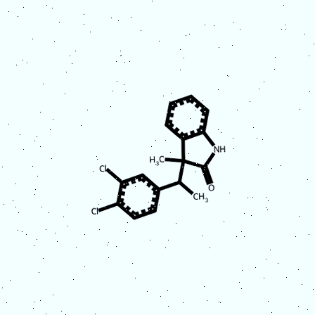 CC(c1ccc(Cl)c(Cl)c1)C1(C)C(=O)Nc2ccccc21